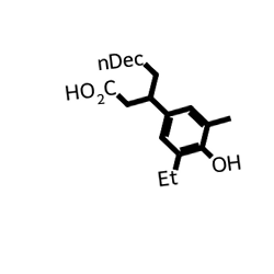 CCCCCCCCCCCC(CC(=O)O)c1cc(C)c(O)c(CC)c1